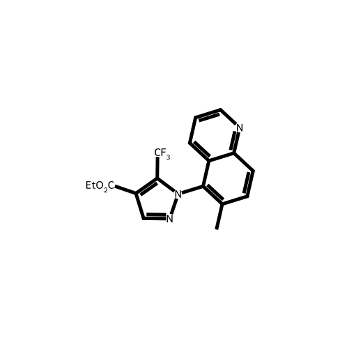 CCOC(=O)c1cnn(-c2c(C)ccc3ncccc23)c1C(F)(F)F